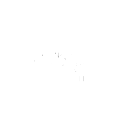 CCC/C(=C(/C)C(=O)O)N(CCC)CCC